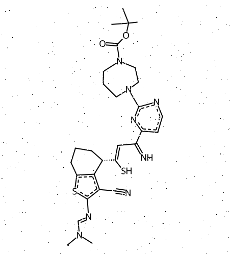 CN(C)/C=N/c1sc2c(c1C#N)[C@@H](/C(S)=C/C(=N)c1ccnc(N3CCCN(C(=O)OC(C)(C)C)CC3)n1)CCC2